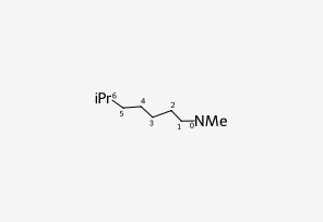 [CH2]NCCCCCC(C)C